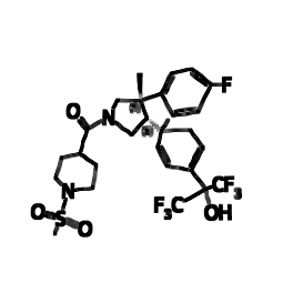 CC1([C@@H]2CN(C(=O)C3CCN(S(C)(=O)=O)CC3)C[C@]2(C)c2ccc(F)cc2)C=CC(C(O)(C(F)(F)F)C(F)(F)F)=CC1